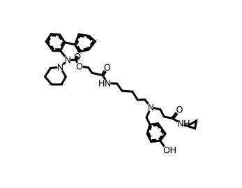 O=C(CCOC(=O)N(c1ccccc1-c1ccccc1)N1CC[CH]CC1)NCCCCCN(CCC(=O)NC1CC1)Cc1ccc(O)cc1